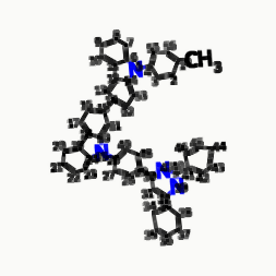 Cc1ccc(-n2c3ccccc3c3cc(-c4ccc5c6ccccc6n(-c6ccc(-c7cc(-c8ccccc8)nc(-c8ccccc8)n7)cc6)c5c4)ccc32)cc1